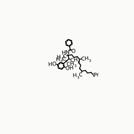 CC(C)CCCC(C)CCCC(C)CCCC(C)(NC(=O)c1ccccc1)C(C)C(C)(C)c1cc(O)ccc1O